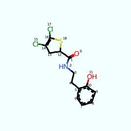 O=C(NCCc1ccccc1O)C1CC(Cl)=C(Cl)S1